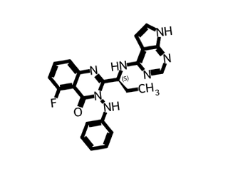 CC[C@H](Nc1ncnc2[nH]ccc12)c1nc2cccc(F)c2c(=O)n1Nc1ccccc1